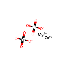 [Mg+2].[O]=[Cr](=[O])([O-])[O-].[O]=[Cr](=[O])([O-])[O-].[Zn+2]